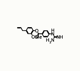 C=CCc1ccc(OC(=O)c2ccc(NC(=N)N)cc2)c(OC)c1